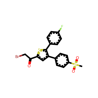 CS(=O)(=O)c1ccc(-c2cc(C(=O)CBr)sc2-c2ccc(F)cc2)cc1